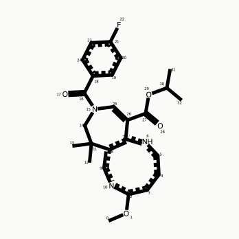 COc1ccc[nH]c2c(cn1)C(C)(C)CN(C(=O)c1ccc(F)cc1)C=C2C(=O)OC(C)C